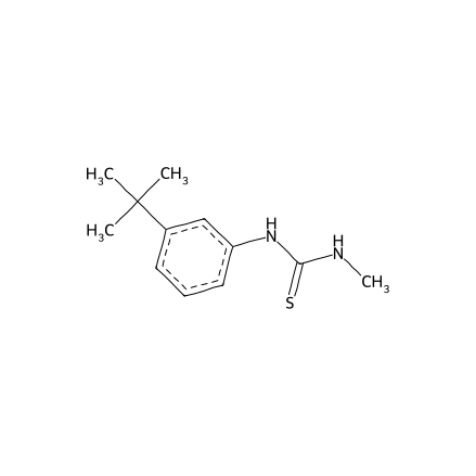 CNC(=S)Nc1cccc(C(C)(C)C)c1